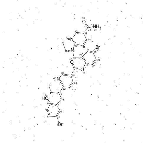 CCN(Cc1cc(Br)ccc1O)c1ccc(C(=O)Oc2ccc(Br)cc2CN(CC)c2ccc(C(N)=O)cn2)cn1